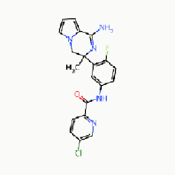 CC1(c2cc(NC(=O)c3ccc(Cl)cn3)ccc2F)Cn2cccc2C(N)=N1